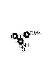 COc1ccc(Oc2cc3[nH]c(=O)oc3cc2-c2cccnc2)cc1